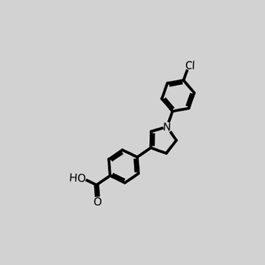 O=C(O)c1ccc(C2=CN(c3ccc(Cl)cc3)CC2)cc1